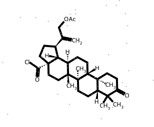 C=C(COC(C)=O)[C@@H]1CC[C@]2(C(=O)Cl)CC[C@]3(C)[C@H](CC[C@@H]4[C@@]5(C)CCC(=O)C(C)(C)[C@@H]5CC[C@]43C)[C@@H]12